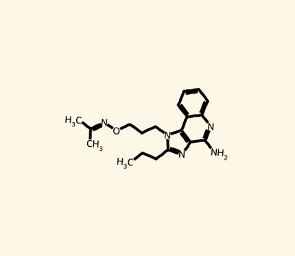 CCCc1nc2c(N)nc3ccccc3c2n1CCCON=C(C)C